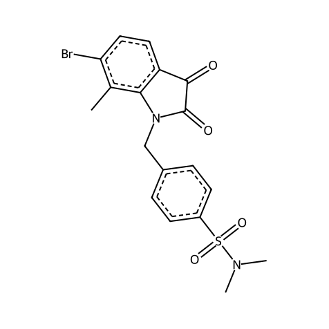 Cc1c(Br)ccc2c1N(Cc1ccc(S(=O)(=O)N(C)C)cc1)C(=O)C2=O